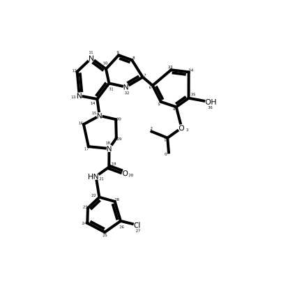 CC(C)Oc1cc(-c2ccc3ncnc(N4CCN(C(=O)Nc5cccc(Cl)c5)CC4)c3n2)ccc1O